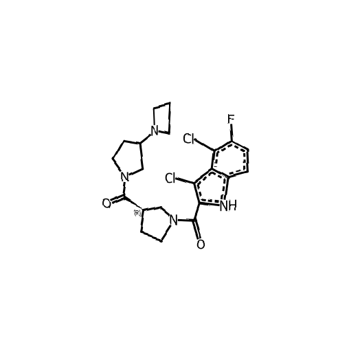 O=C(c1[nH]c2ccc(F)c(Cl)c2c1Cl)N1CC[C@@H](C(=O)N2CCC(N3CCC3)C2)C1